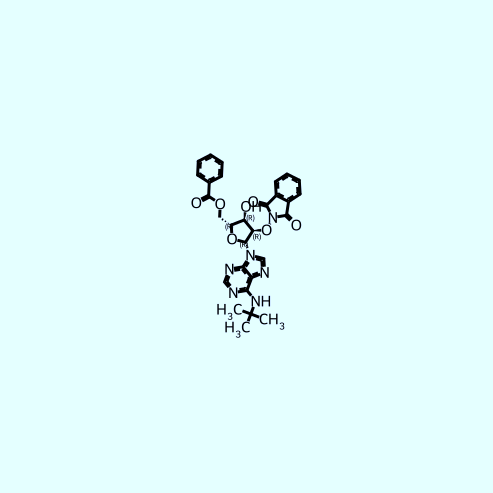 CC(C)(C)Nc1ncnc2c1ncn2[C@@H]1O[C@H](COC(=O)c2ccccc2)[C@@H](O)[C@H]1ON1C(=O)c2ccccc2C1=O